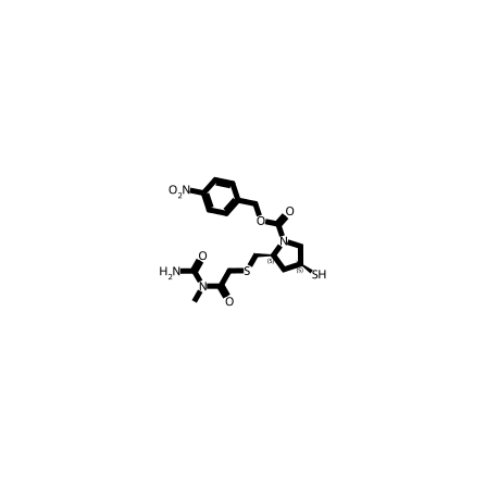 CN(C(N)=O)C(=O)CSC[C@@H]1C[C@H](S)CN1C(=O)OCc1ccc([N+](=O)[O-])cc1